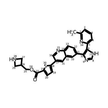 Cc1cccc(-c2[nH]cnc2-c2ccc3ncc(-c4ccc(C(=O)OCC5CNC5)s4)cc3c2)n1